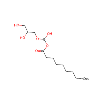 CCCCCCCCCCCCCCCCCC(=O)OB(O)OCC(O)CO